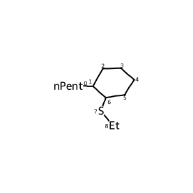 CCCCCC1CCCCC1SCC